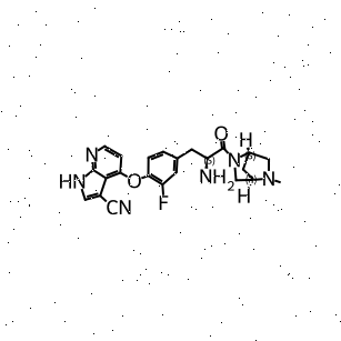 CN1C[C@@H]2C[C@@H]1CN2C(=O)[C@@H](N)Cc1ccc(Oc2ccnc3[nH]cc(C#N)c23)c(F)c1